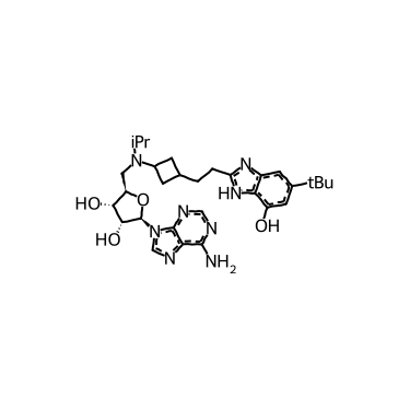 CC(C)N(C[C@H]1O[C@@H](n2cnc3c(N)ncnc32)[C@H](O)[C@@H]1O)C1CC(CCc2nc3cc(C(C)(C)C)cc(O)c3[nH]2)C1